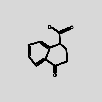 O=C1CCC(C(=O)Cl)c2ccccc21